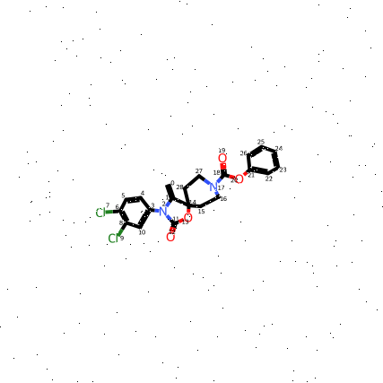 C=C1N(c2ccc(Cl)c(Cl)c2)C(=O)OC12CCN(C(=O)Oc1ccccc1)CC2